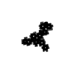 c1ccc(-c2ccc3c(c2)c2ccc4c(c5ccccc5n4-c4ccc5ccccc5c4)c2n3-c2ccc3sc4c(-c5cccc6oc7ccccc7c56)cccc4c3c2)cc1